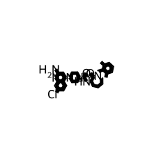 Cc1cccc(C)c1CN1CCCCC(NC(=O)N2CCN(c3cc(N)nc4cc(Cl)ccc34)CC2)C1=O